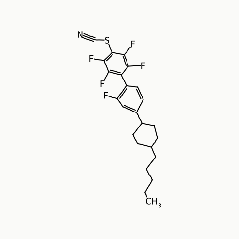 CCCCCC1CCC(c2ccc(-c3c(F)c(F)c(SC#N)c(F)c3F)c(F)c2)CC1